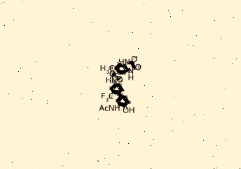 CC(=O)Nc1cc(-c2ccc(NS(=O)(=O)c3cc4[nH]c(=O)c(=O)[nH]c4cc3C)cc2C(F)(F)F)ccc1O